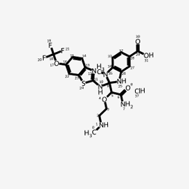 CNCCOC(C(N)=O)C1(Nc2nc3ccc(OC(F)(F)F)cc3s2)Nc2cc(C(=O)O)ccc2N1C.Cl